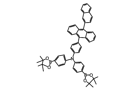 CC1(C)OB(c2ccc(N(c3ccc(B4OC(C)(C)C(C)(C)O4)cc3)c3ccc(-c4c5ccccc5c(-c5ccc6ccccc6c5)c5ccccc45)cc3)cc2)OC1(C)C